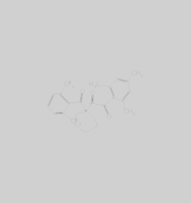 Cc1cc(C)c(C(=O)[P](=O)C2(C(=O)c3c(C(F)(F)F)cccc3C(F)(F)F)CCCCC2)c(C)c1